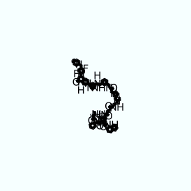 CN[C@@H](C)C(=O)N[C@H](C(=O)N1C[C@@H](NC(=O)CCC(=O)NCCN2CC[C@]3(CCN(CC(=O)NCc4cccc(CNc5cc(N6CCC7(CC6)CN(c6cc(F)c(CN8CCC(C)(C)CC8)cc6F)CC(=O)N7)ncn5)c4)C3)C2)C[C@H]1C(=O)N[C@H]1CCCc2ccccc21)C1CCCCC1